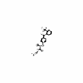 CCOC(=O)C(Cl)Oc1ccc(C(=O)c2ccccc2C(F)(F)F)cc1